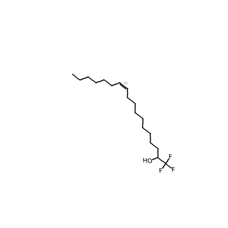 CCCCCC/C=C\CCCCCCCCC(O)C(F)(F)F